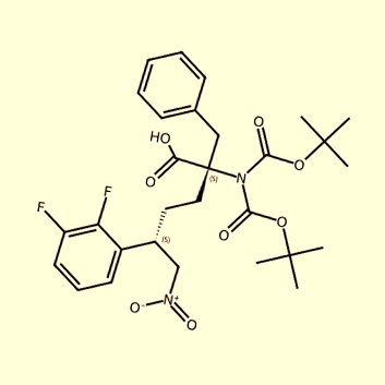 CC(C)(C)OC(=O)N(C(=O)OC(C)(C)C)[C@@](CC[C@H](C[N+](=O)[O-])c1cccc(F)c1F)(Cc1ccccc1)C(=O)O